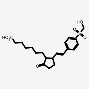 O=C(O)CCCCCCC1C(=O)CCC1C=Cc1ccc(S(=O)(=O)CO)cc1